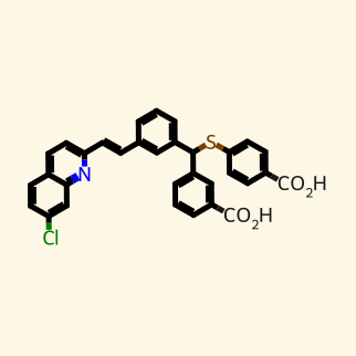 O=C(O)c1ccc(SC(c2cccc(C=Cc3ccc4ccc(Cl)cc4n3)c2)c2cccc(C(=O)O)c2)cc1